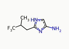 CC(Cc1nc(N)c[nH]1)C(F)(F)F